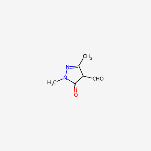 CC1=NN(C)C(=O)C1C=O